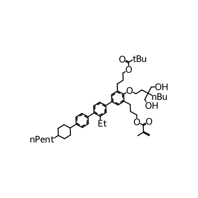 C=C(C)C(=O)OCCCc1cc(-c2ccc(-c3ccc(C4CCC(CCCCC)CC4)cc3)c(CC)c2)cc(CCCOC(=O)C(C)(C)C)c1OCCC(CO)(CO)CCCC